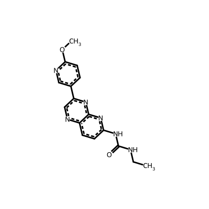 CCNC(=O)Nc1ccc2ncc(-c3ccc(OC)nc3)nc2n1